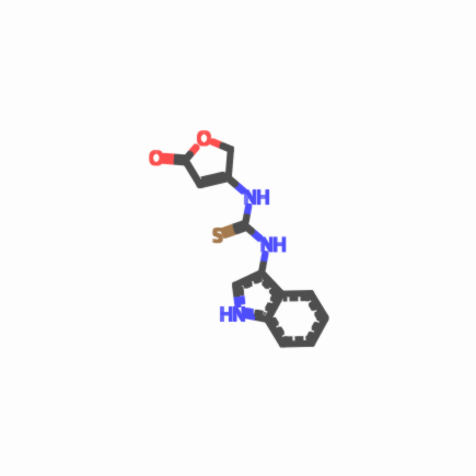 O=C1C=C(NC(=S)Nc2c[nH]c3ccccc23)CO1